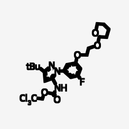 CC(C)(C)c1cc(NC(=O)OCC(Cl)(Cl)Cl)n(-c2cc(F)cc(OCCOC3CCCCO3)c2)n1